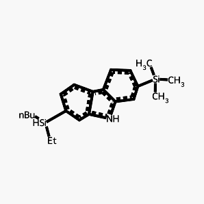 CCCC[SiH](CC)c1ccc2c(c1)[nH]c1cc([Si](C)(C)C)ccc12